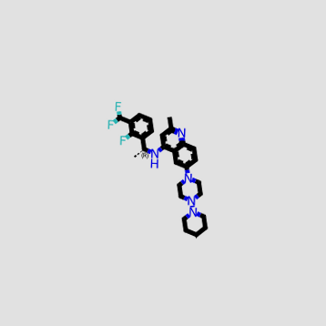 Cc1cc(N[C@H](C)c2cccc(C(F)F)c2F)c2cc(N3CCN(N4CC[CH]CC4)CC3)ccc2n1